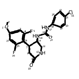 COc1cc(F)c(C2CC(=O)NCC2NC(=O)Nc2ccc(Cl)cc2)c(F)c1